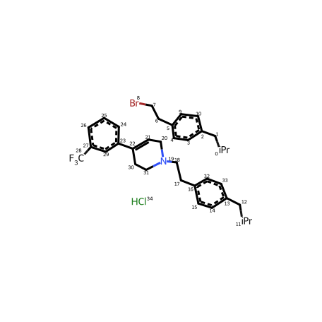 CC(C)Cc1ccc(CCBr)cc1.CC(C)Cc1ccc(CCN2CC=C(c3cccc(C(F)(F)F)c3)CC2)cc1.Cl